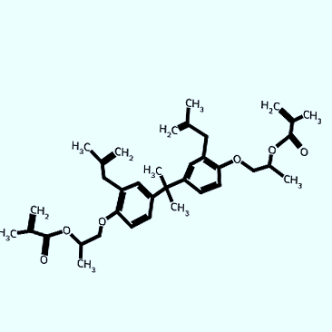 C=C(C)Cc1cc(C(C)(C)c2ccc(OCC(C)OC(=O)C(=C)C)c(CC(=C)C)c2)ccc1OCC(C)OC(=O)C(=C)C